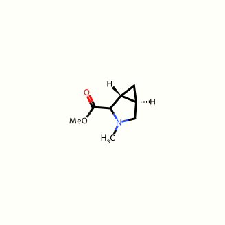 COC(=O)C1[C@@H]2C[C@H]2CN1C